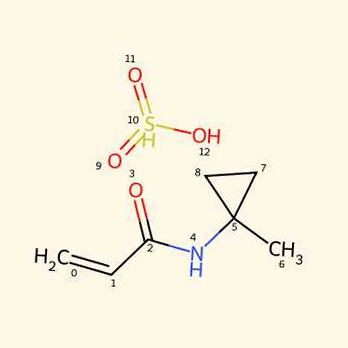 C=CC(=O)NC1(C)CC1.O=[SH](=O)O